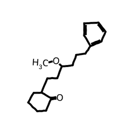 COC(CCCc1ccccc1)CCC1CCCCC1=O